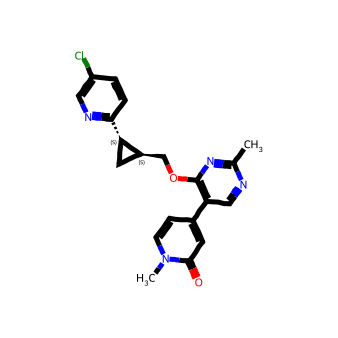 Cc1ncc(-c2ccn(C)c(=O)c2)c(OC[C@H]2C[C@@H]2c2ccc(Cl)cn2)n1